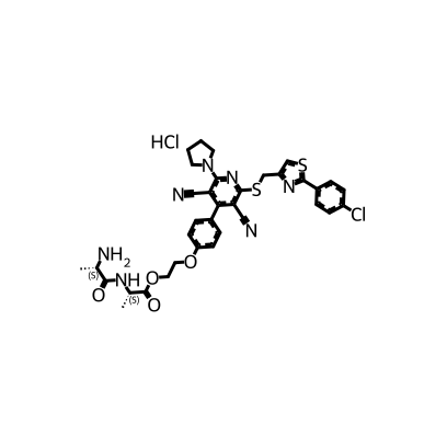 C[C@H](N)C(=O)N[C@@H](C)C(=O)OCCOc1ccc(-c2c(C#N)c(SCc3csc(-c4ccc(Cl)cc4)n3)nc(N3CCCC3)c2C#N)cc1.Cl